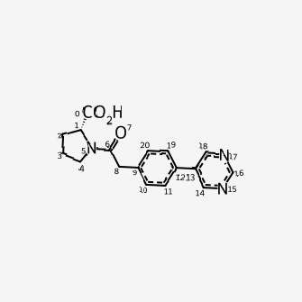 O=C(O)[C@H]1CCCN1C(=O)Cc1ccc(-c2cncnc2)cc1